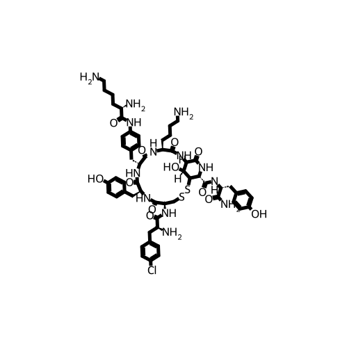 NCCCC[C@@H]1NC(=O)[C@@H](Cc2ccc(NC(=O)[C@@H](N)CCCCN)cc2)NC(=O)[C@H](Cc2ccc(O)cc2)NC(=O)[C@H](NC(=O)[C@@H](N)Cc2ccc(Cl)cc2)CSSC2[C@@H](C(=O)N[C@H](Cc3ccc(O)cc3)C(N)=O)NC(=O)[C@@H](NC1=O)[C@@H]2O